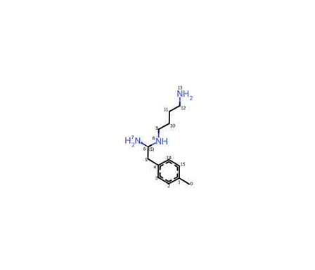 Cc1ccc(C[C@@H](N)NCCCCN)cc1